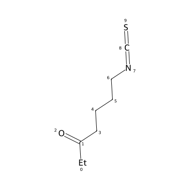 CCC(=O)CCCCN=C=S